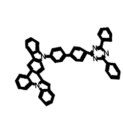 c1ccc(-c2nc(-c3ccccc3)nc(-c3ccc(-c4ccc(-n5c6ccccc6c6cc7c8ccccc8n8c9ccccc9cc8c7cc65)cc4)cc3)n2)cc1